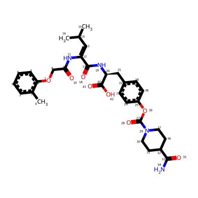 Cc1ccccc1OCC(=O)N/C(=C\C(C)C)C(=O)N[C@@H](Cc1ccc(OC(=O)N2CCC(C(N)=O)CC2)cc1)C(=O)O